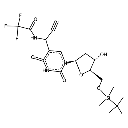 C#CC(NC(=O)C(F)(F)F)c1cn([C@H]2C[C@H](O)[C@@H](CO[Si](C)(C)C(C)(C)C)O2)c(=O)[nH]c1=O